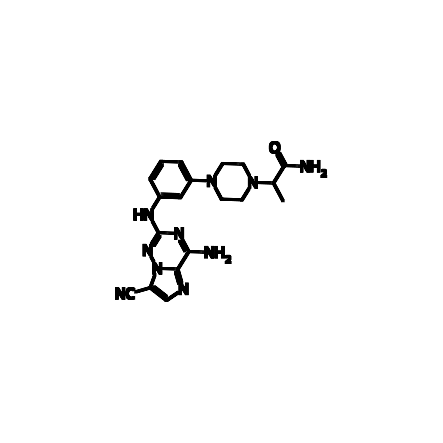 CC(C(N)=O)N1CCN(c2cccc(Nc3nc(N)c4ncc(C#N)n4n3)c2)CC1